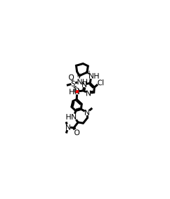 CN(C)C(=O)C1CCN(C)c2cc(Nc3ncc(Cl)c(N[C@@H]4CCCC[C@H]4NS(C)(=O)=O)n3)ccc2N1